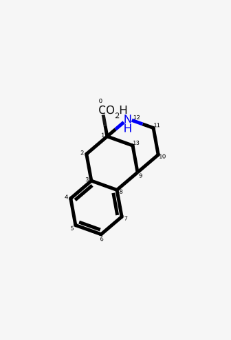 O=C(O)C12Cc3ccccc3C(CCN1)C2